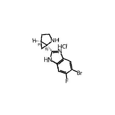 Cl.Fc1cc2[nH]c([C@]34C[C@H]3CCN4)nc2cc1Br